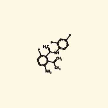 C=C(C)c1c(N)ccc(F)c1C(=C)Nc1ccc(F)cc1F